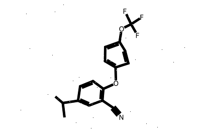 CC(C)c1ccc(Oc2ccc(OC(F)(F)F)cc2)c(C#N)c1